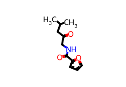 CC(C)CC(=O)CNC(=O)c1ccco1